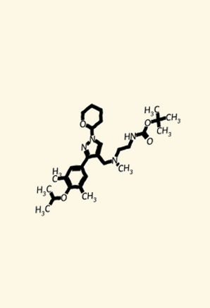 Cc1cc(-c2nn(C3CCCCO3)cc2CN(C)CCNC(=O)OC(C)(C)C)cc(C)c1OC(C)C